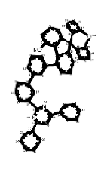 N#Cc1cccc2c1-c1c(-c3cccc(-c4cccc(-c5nc(-c6ccccc6)cc(-c6ccccc6)n5)c4)c3)cccc1C21c2ccccc2Oc2ccccc21